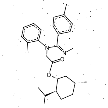 C/N=C(\c1ccc(C)cc1)N(CC(=O)O[C@@H]1C[C@H](C)CC[C@H]1C(C)C)c1ccccc1C